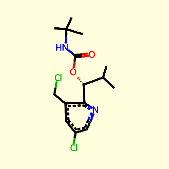 CC(C)[C@@H](OC(=O)NC(C)(C)C)c1ncc(Cl)cc1CCl